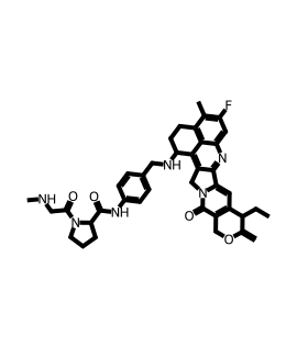 C=C1OCc2c(cc3n(c2=O)Cc2c-3nc3cc(F)c(C)c4c3c2C(NCc2ccc(NC(=O)C3CCCN3C(=O)CNC)cc2)CC4)C1CC